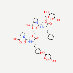 CCOC(=O)[C@H](CCc1ccccc1)N[C@@H](C)C(=O)N1CCC[C@H]1C(=O)O.CCOC(=O)[C@H](CCc1ccccc1)N[C@@H](C)C(=O)N1CCC[C@H]1C(=O)O.O=C(O)/C=C\C(=O)O.O=C(O)/C=C\C(=O)O